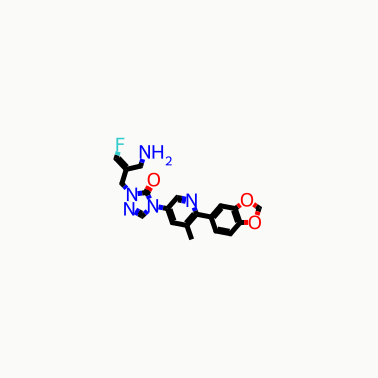 Cc1cc(-n2cnn(C/C(=C/F)CN)c2=O)cnc1-c1ccc2c(c1)OCO2